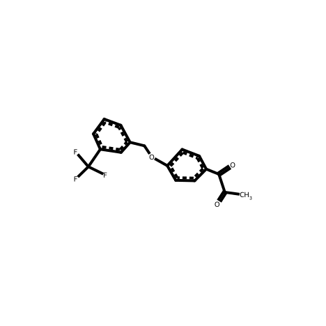 CC(=O)C(=O)c1ccc(OCc2cccc(C(F)(F)F)c2)cc1